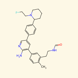 Cc1ccc(-c2cc(-c3ccc(C4CCCCN4CCF)cc3)cnc2N)cc1CCNC=O